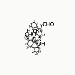 C[N+]1(C(CCC=O)c2ccccc2)CC[C@@H](OC(=O)C2(O)c3ccccc3-c3ccccc32)C1.O=C[O-]